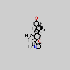 CC1=C2C[C@H]3[C@@H](CC[C@@H]4CC(=O)CC[C@@]43C)[C@@H]2CC[C@@]2(C1)O[C@@H]1CCCN(C)[C@H]1[C@H]2C